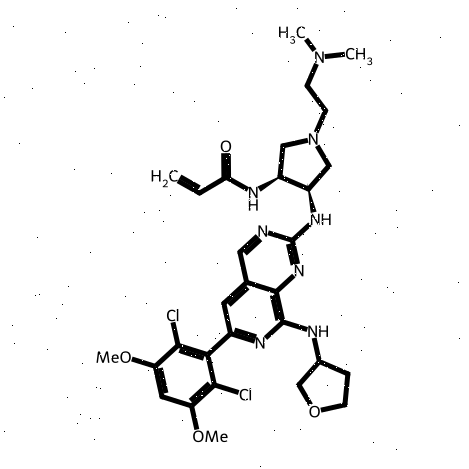 C=CC(=O)N[C@H]1CN(CCN(C)C)C[C@H]1Nc1ncc2cc(-c3c(Cl)c(OC)cc(OC)c3Cl)nc(NC3CCOC3)c2n1